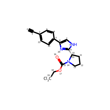 C#Cc1ccc(-c2c[nH]c([C@@H]3CCCN3C(=O)OCC(Cl)(Cl)Cl)n2)cc1